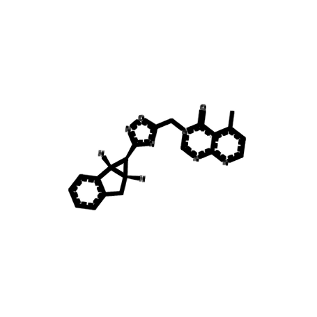 Cc1ccnc2ncn(Cc3nc([C@H]4[C@@H]5Cc6ccccc6[C@@H]54)no3)c(=O)c12